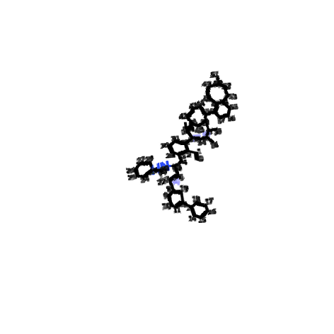 C=Cc1c(C[C@@H](/C=C/c2cccc(-c3ccccc3)c2)N[C@H](C)c2ccccc2)cccc1/C1=C/C(C)=C(/C)C2C[C@@H](C=CC=C2C2=C3C=C[C@@H](C)CCC3CC=C2)C1